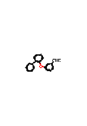 O=Cc1cccc(Oc2ccccc2-c2ccccc2)c1